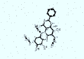 CC1OC(c2ccccc2)O[C@@H]2C1O[C@H](O[C@@H]1C(N=[N+]=[N-])C[C@@H](N=[N+]=[N-])C(O)[C@H]1O)C(N=[N+]=[N-])[C@H]2O